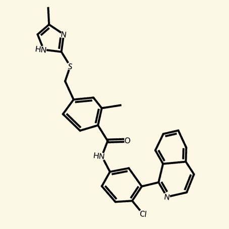 Cc1c[nH]c(SCc2ccc(C(=O)Nc3ccc(Cl)c(-c4nccc5ccccc45)c3)c(C)c2)n1